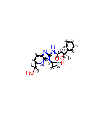 CC(C)(O)c1ccc2nc(NC(=O)C[C@](C)(O)c3ccccc3)n(C3CCC3)c2n1